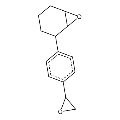 c1cc(C2CCCC3OC32)ccc1C1CO1